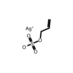 C=CCOS(=O)(=O)[O-].[Ag+]